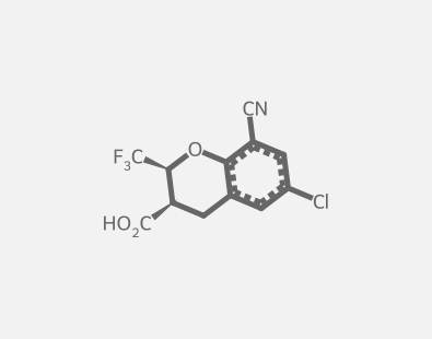 N#Cc1cc(Cl)cc2c1O[C@H](C(F)(F)F)[C@H](C(=O)O)C2